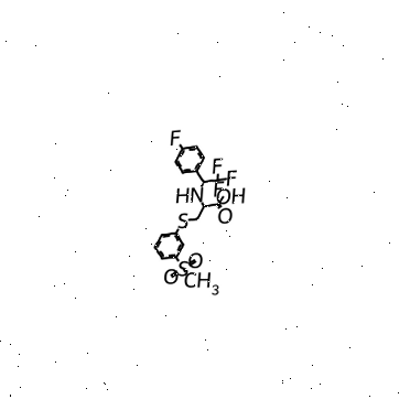 CS(=O)(=O)c1cccc(SCC(N[C@@H](c2ccc(F)cc2)C(F)(F)F)C(=O)O)c1